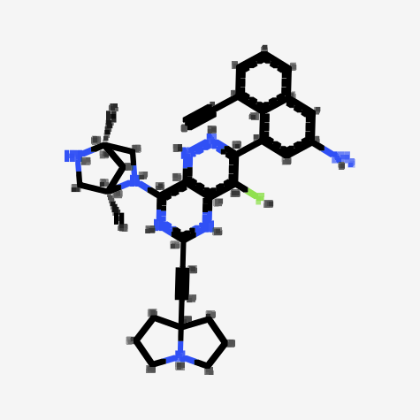 C#Cc1cccc2cc(N)cc(-c3nnc4c(N5C[C@H]6C[C@@H]5CN6)nc(C#CC56CCCN5CCC6)nc4c3F)c12